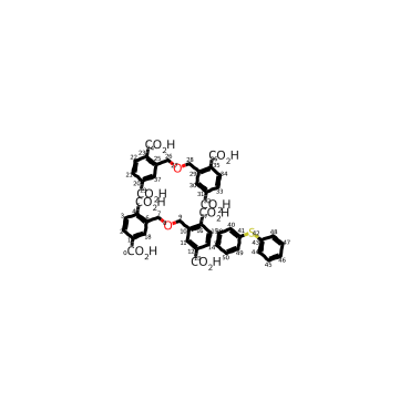 O=C(O)c1ccc(C(=O)O)c(COCc2cc(C(=O)O)ccc2C(=O)O)c1.O=C(O)c1ccc(C(=O)O)c(COCc2cc(C(=O)O)ccc2C(=O)O)c1.c1ccc(Sc2ccccc2)cc1